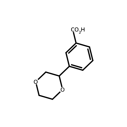 O=C(O)c1cccc(C2COCCO2)c1